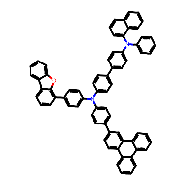 c1ccc(N(c2ccc(-c3ccc(N(c4ccc(-c5ccc6c7ccccc7c7ccccc7c6c5)cc4)c4ccc(-c5cccc6c5oc5ccccc56)cc4)cc3)cc2)c2cccc3ccccc23)cc1